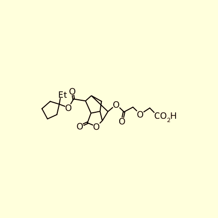 CCC1(OC(=O)C2C3CC4C(OC(=O)C42)C3OC(=O)COCC(=O)O)CCCC1